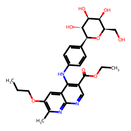 CCCOc1cc2c(Nc3ccc([C@@H]4O[C@H](CO)[C@H](O)[C@H](O)[C@H]4O)cc3)c(C(=O)OCC)cnc2nc1C